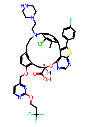 Cc1c2ccc(c1Cl)N(CCN1CCNCC1)CCc1ccc(OCc3ccnc(OCCC(F)(F)F)n3)c(c1)C[C@H](C(=O)O)Oc1ncnc3sc(-c4ccc(F)cc4)c-2c13